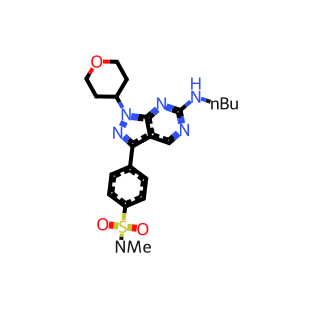 CCCCNc1ncc2c(-c3ccc(S(=O)(=O)NC)cc3)nn(C3CCOCC3)c2n1